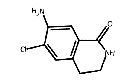 Nc1cc2c(cc1Cl)CCNC2=O